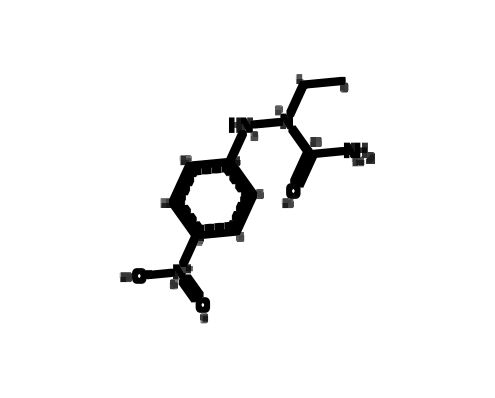 CCN(Nc1ccc([N+](=O)[O-])cc1)C(N)=O